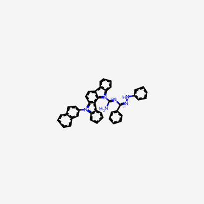 N/C(=N\C(=N/Nc1ccccc1)c1ccccc1)n1c2ccccc2c2ccc3c(c4ccccc4n3-c3ccc4ccccc4c3)c21